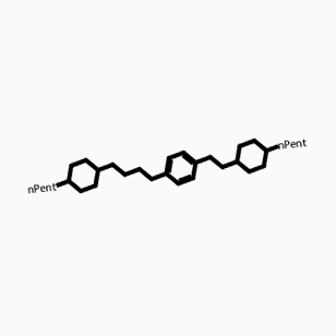 CCCCCC1CCC(CCCCc2ccc(CCC3CCC(CCCCC)CC3)cc2)CC1